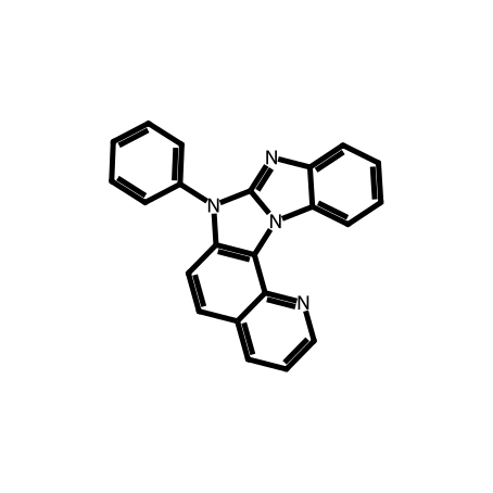 c1ccc(-n2c3ccc4cccnc4c3n3c4ccccc4nc23)cc1